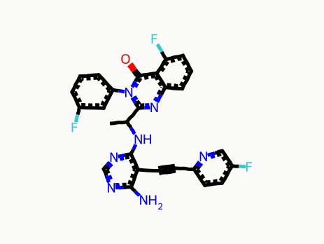 CC(Nc1ncnc(N)c1C#Cc1ccc(F)cn1)c1nc2cccc(F)c2c(=O)n1-c1cccc(F)c1